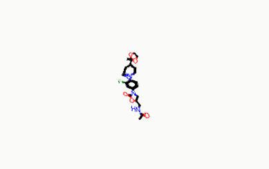 CC(=O)NCC1CN(c2ccc(N3CCC(C4(C)OCCO4)CC3)c(F)c2)C(=O)O1